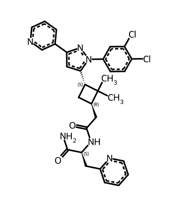 CC1(C)[C@@H](CC(=O)N[C@@H](Cc2ccccn2)C(N)=O)C[C@@H]1c1cc(-c2cccnc2)nn1-c1ccc(Cl)c(Cl)c1